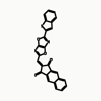 O=C1C(=Cc2nc3oc(-c4cc5ccccc5s4)nc3o2)C(=O)c2cc3ccccc3cc21